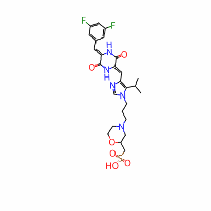 CC(C)c1c(/C=c2\[nH]c(=O)/c(=C/c3cc(F)cc(F)c3)[nH]c2=O)ncn1CCCN1CCOC(CS(=O)(=O)O)C1